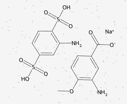 COc1ccc(C(=O)[O-])cc1N.Nc1cc(S(=O)(=O)O)ccc1S(=O)(=O)O.[Na+]